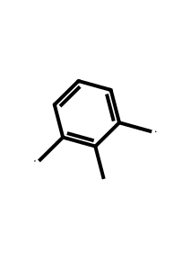 [CH2]c1cccc([CH2])c1C